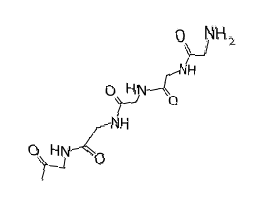 CC(=O)CNC(=O)CNC(=O)CNC(=O)CNC(=O)CN